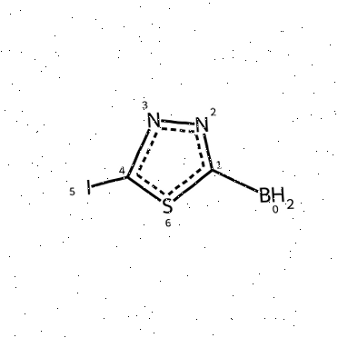 Bc1nnc(I)s1